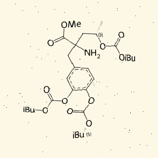 CCC(C)OC(=O)Oc1cc(CC(N)(C[C@H](C)OC(=O)OCC(C)C)C(=O)OC)ccc1OC(=O)O[C@@H](C)CC